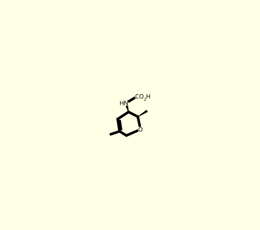 CC1=C[C@@H](NC(=O)O)[C@@H](C)OC1